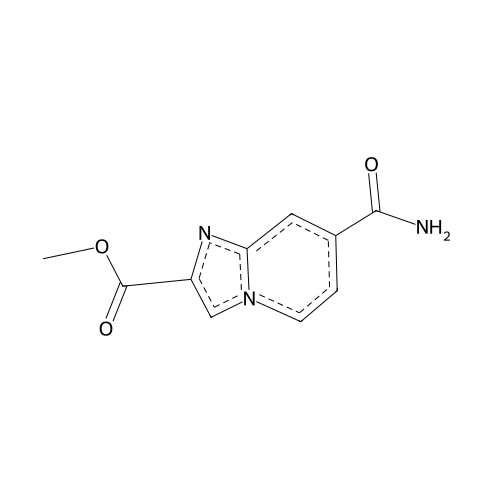 COC(=O)c1cn2ccc(C(N)=O)cc2n1